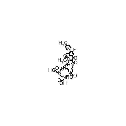 CC1OCc2c(N3CCN(C)CC3)c(F)cc3c(=O)c(C(=O)NCCCC(C(=O)O)N4CCN(CC=O)CCN(CC(=O)O)CCN(CC(=O)O)CC4)cn1c23